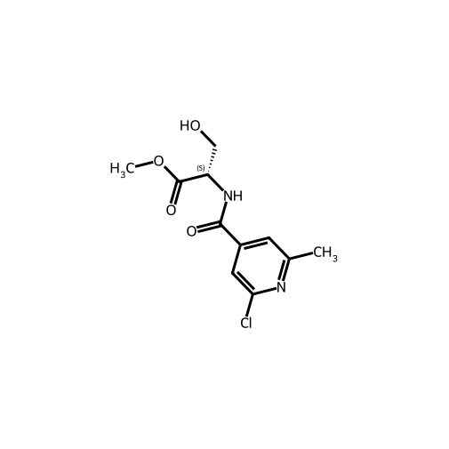 COC(=O)[C@H](CO)NC(=O)c1cc(C)nc(Cl)c1